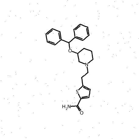 NC(=O)c1ccc(CCN2CCCC(OC(c3ccccc3)c3ccccc3)C2)s1